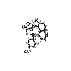 CCc1ccc(Nc2ccnc3ccc4cnn(OS(C)(=O)=O)c4c23)cc1